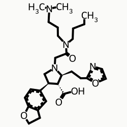 CCCCN(CCCN(C)C)C(=O)CN1C[C@H](c2ccc3c(c2)CCO3)[C@@H](C(=O)O)[C@@H]1CCc1ncco1